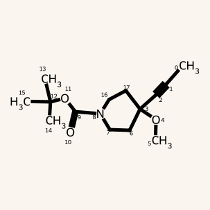 CC#CC1(OC)CCN(C(=O)OC(C)(C)C)CC1